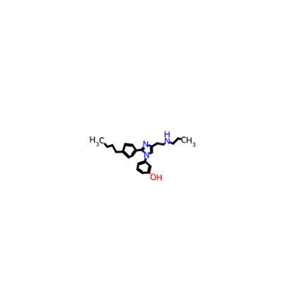 CCCCc1ccc(-c2nc(CCNCCC)cn2-c2cccc(O)c2)cc1